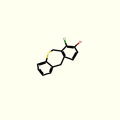 Clc1c(Br)ccc2c1CSc1ccccc1C2